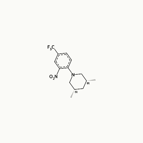 C[C@@H]1C[C@H](C)CN(c2ccc(C(F)(F)F)cc2[N+](=O)[O-])C1